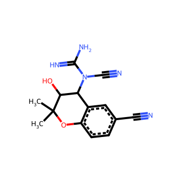 CC1(C)Oc2ccc(C#N)cc2C(N(C#N)C(=N)N)C1O